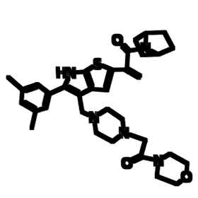 C=C(C(=O)N1C2CCC1CC2)c1cc2c(CN3CCN(CC(=O)N4CCOCC4)CC3)c(-c3cc(C)cc(C)c3)[nH]c2s1